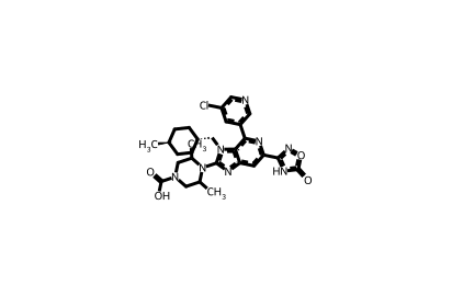 CC1CN(C(=O)O)CC(C)N1c1nc2cc(-c3noc(=O)[nH]3)nc(-c3cncc(Cl)c3)c2n1C[C@H]1CC[C@H](C)CC1